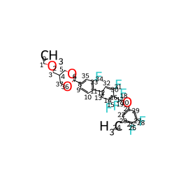 CCOCC1COC(c2ccc(-c3cc(F)c(C(F)(F)Oc4cc(C)c(F)c(F)c4)c(F)c3)c(F)c2)OC1